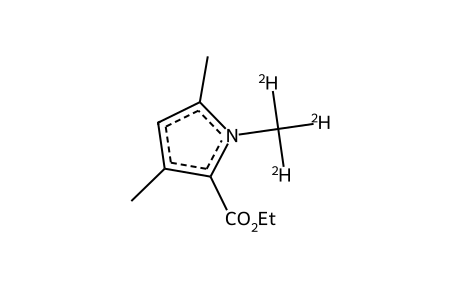 [2H]C([2H])([2H])n1c(C)cc(C)c1C(=O)OCC